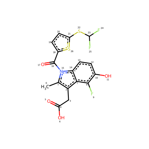 Cc1c(CC(=O)O)c2c(F)c(O)ccc2n1C(=O)c1ccc(SC(F)F)s1